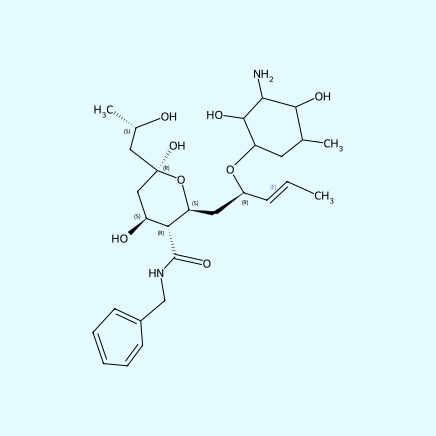 C/C=C/[C@@H](C[C@@H]1O[C@](O)(C[C@H](C)O)C[C@H](O)[C@H]1C(=O)NCc1ccccc1)OC1CC(C)C(O)C(N)C1O